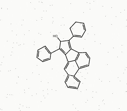 OC1C(C2=CC=CCC2)=C2C(=C1c1ccccc1)c1cc3ccccc3c3cccc2c13